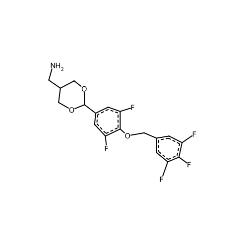 NCC1COC(c2cc(F)c(OCc3cc(F)c(F)c(F)c3)c(F)c2)OC1